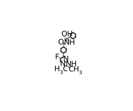 CC(C)Nc1ncc(F)c(-c2ccc(C(=O)N[C@H](CO)c3ccccc3)cc2)n1